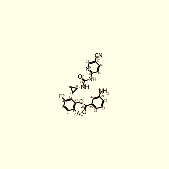 CC(=O)c1ccc(F)c([C@@H]2C[C@@H]2NC(=O)Nc2ccc(C#N)cn2)c1OC(=O)c1cccc(N)c1